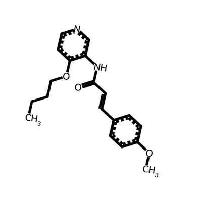 CCCCOc1ccncc1NC(=O)/C=C/c1ccc(OC)cc1